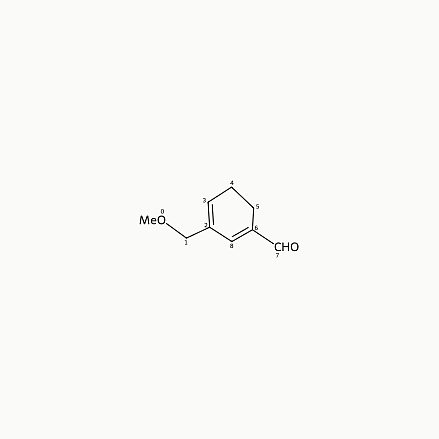 COCC1=CCCC(C=O)=C1